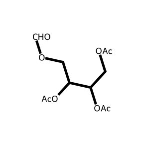 CC(=O)OCC(OC(C)=O)C(COC=O)OC(C)=O